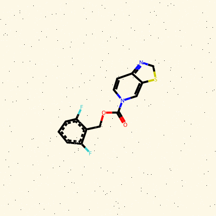 O=C(OCc1c(F)cccc1F)N1C=CC2=NCSC2=C1